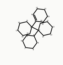 C1=C(C2(C3(C4CCCCC4)CCCCC3)CCCCC2)CCCC1